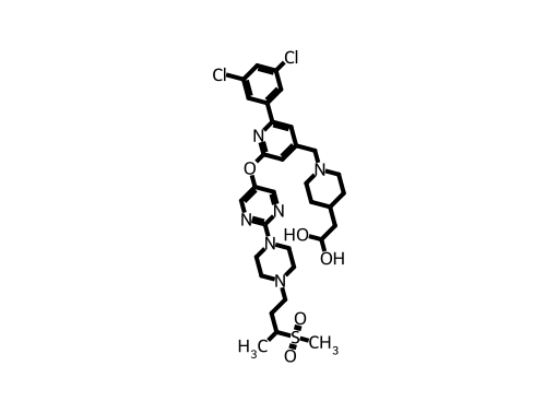 CC(CCN1CCN(c2ncc(Oc3cc(CN4CCC(CC(O)O)CC4)cc(-c4cc(Cl)cc(Cl)c4)n3)cn2)CC1)S(C)(=O)=O